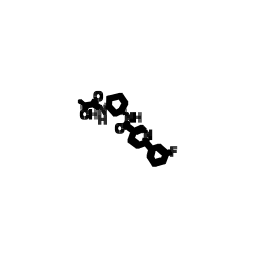 C[C@H](O)C(=O)N[C@@H]1CCC[C@H](NC(=O)c2ccc(-c3cccc(F)c3)nc2)C1